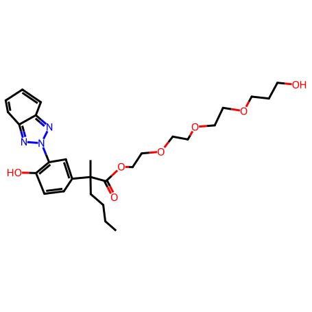 CCCCC(C)(C(=O)OCCOCCOCCOCCCO)c1ccc(O)c(-n2nc3ccccc3n2)c1